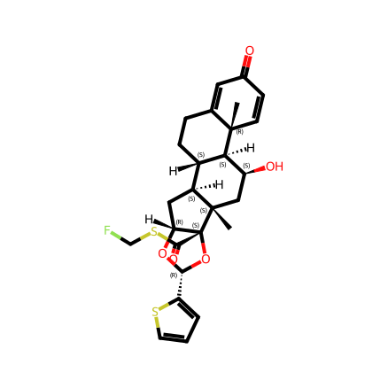 C[C@]12C=CC(=O)C=C1CC[C@@H]1[C@@H]2[C@@H](O)C[C@@]2(C)[C@H]1C[C@H]1O[C@@H](c3cccs3)O[C@]12C(=O)SCF